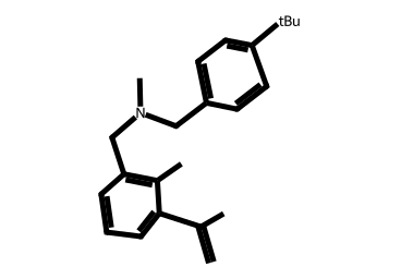 C=C(C)c1cccc(CN(C)Cc2ccc(C(C)(C)C)cc2)c1C